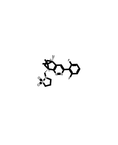 CC1(C)[C@H]2CC[C@]1(CN1CCCS1(=O)=O)c1nnc(-c3c(F)cccc3F)cc12